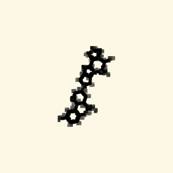 Cn1c(-c2nnnn2C(F)F)nc2c1CN([C@H]1CO[C@H](c3cc(F)ccc3F)C(N)C1)C2